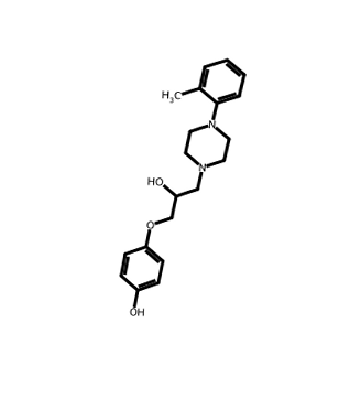 Cc1ccccc1N1CCN(CC(O)COc2ccc(O)cc2)CC1